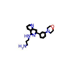 NCCCNc1nc(-c2cccc(N3CCOCC3)c2)cc2ncccc12